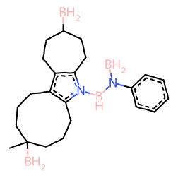 BC1CCc2c3c(n(BN(B)c4ccccc4)c2CC1)CCCC(B)(C)CCC3